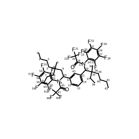 CCCCC(C)(CCC)CC(c1cccc(C(N(C(=O)C(F)(F)F)c2c(F)c(F)c(F)c(F)c2F)C(C)(CC)CCCC)c1)N(C(=O)C(F)(F)F)c1c(F)c(F)c(F)c(F)c1F